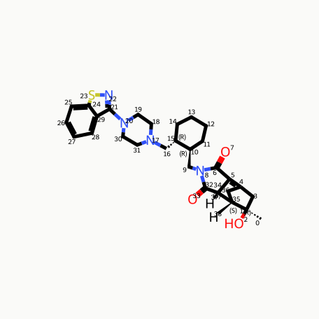 C[C@@]1(O)CC2=C3C(=O)N(C[C@@H]4CCCC[C@H]4CN4CCN(c5nsc6ccccc56)CC4)C(=O)[C@H]3[C@@H]1C2